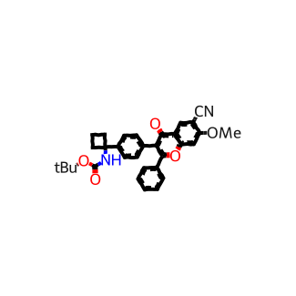 COc1cc2oc(-c3ccccc3)c(-c3ccc(C4(NC(=O)OC(C)(C)C)CCC4)cc3)c(=O)c2cc1C#N